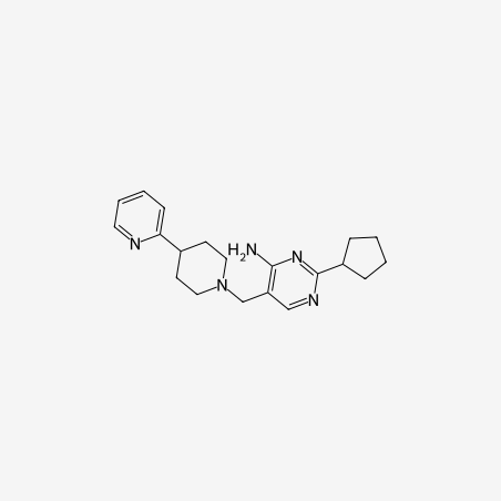 Nc1nc(C2CCCC2)ncc1CN1CCC(c2ccccn2)CC1